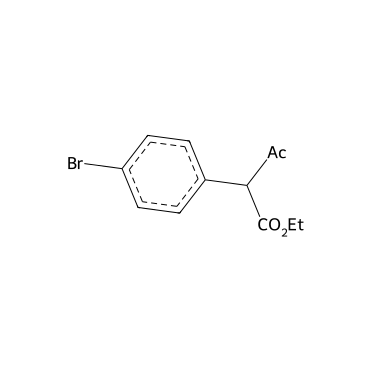 CCOC(=O)C(C(C)=O)c1ccc(Br)cc1